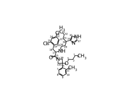 CCCCOC1(c2ccccc2C)CN(C(=O)C(Cc2ccc(Cl)cc2Cl)NCCC(CCC)c2c[nH]cn2)C1